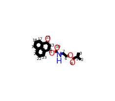 C=C(C)C(=O)OCCNC(=O)OC1=CC(=O)c2cccc3cccc1c23